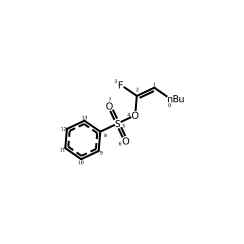 CCCC/C=C(/F)OS(=O)(=O)c1ccccc1